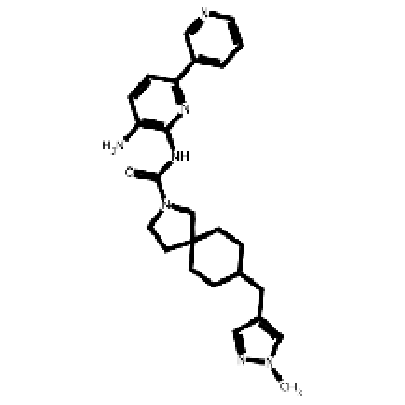 Cn1cc(CC2CCC3(CC2)CCN(C(=O)Nc2nc(-c4cccnc4)ccc2N)C3)cn1